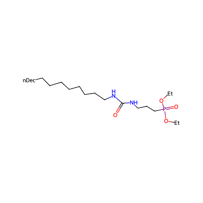 CCCCCCCCCCCCCCCCCCNC(=O)NCCCP(=O)(OCC)OCC